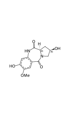 COc1cc2c(cc1O)NC(=O)[C@H]1C[C@@H](O)CN1C2=O